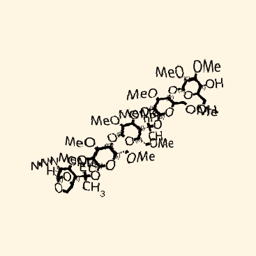 CCCC(C)(O[C@@H]1OC(COC)[C@@H](O[C@@H]2OC(CO)[C@@H](O)C(OC)[C@@H]2OC)C(OC)[C@@H]1OC)[C@H]1C(OC)C(OC)[C@@H](O[C@H]2C(OC)C(OC)[C@H](OC(C)(CC)[C@H]3C4CO[C@H](O4)[C@@H](N=[N+]=[N-])C3OC)O[C@H]2COC)O[C@H]1COC